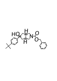 CC(C)(C)c1ccc([C@]2(O)C[C@H]3CN(C(=O)OCc4ccccc4)C[C@H]3C2)cc1